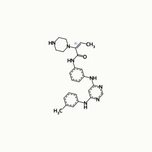 C/C=C(\C(=O)Nc1cccc(Nc2cc(Nc3cccc(C)c3)ncn2)c1)N1CCNCC1